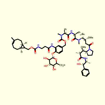 CC[C@H](C)[C@@H]([C@@H](CC(=O)N1CCC[C@H]1[C@H](OC)[C@@H](C)C(=O)N[C@H](C)[C@@H](O)c1ccccc1)OC)N(C)C(=O)[C@@H](NC(=O)[C@H](C(C)C)N(C)C(=O)OCc1ccc(O[C@@H]2OC(C(=O)O)[C@@H](O)[C@H](O)C2O)c(NC(=O)CCNC(=O)OCC2[C@H]3CC/C=C(/C)CC[C@@H]23)c1)C(C)C